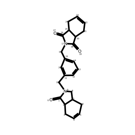 O=C1C2CC=CCC2CN1Cc1cccc(CN2C(=O)C3CC=CCC3C2=O)c1